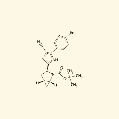 CC(C)(C)OC(=O)N1[C@@H]2C[C@@H]2C[C@H]1c1nc(C#N)c(-c2ccc(Br)cc2)[nH]1